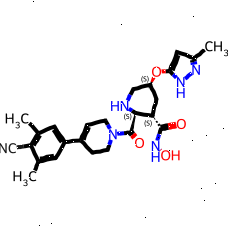 Cc1cc(O[C@@H]2CN[C@H](C(=O)N3CC=C(c4cc(C)c(C#N)c(C)c4)CC3)[C@@H](C(=O)NO)C2)[nH]n1